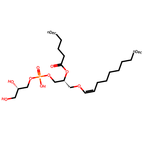 CCCCCCCCCCCCCCCC/C=C\OC[C@H](COP(=O)(O)OC[C@@H](O)CO)OC(=O)CCCCCCCCCCCCC